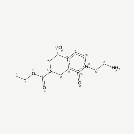 CCOC(=O)N1CCc2ccn(CCN)c(=O)c2C1.Cl